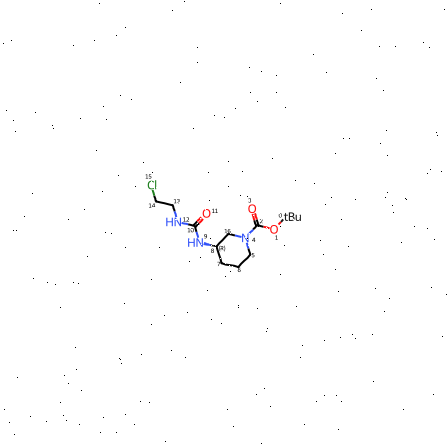 CC(C)(C)OC(=O)N1CCC[C@@H](NC(=O)NCCCl)C1